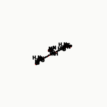 N#CCSc1nc2ccccc2s1.NC(=O)OC(COC(=O)NCCCCCCCCCCCC(=O)NC(=O)CCCCCCCCCCCNC(=O)OCC(CSc1nc2ccccc2s1)OC(N)=O)CSc1nc2ccccc2s1